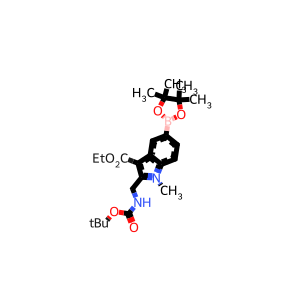 CCOC(=O)c1c(CNC(=O)OC(C)(C)C)n(C)c2ccc(B3OC(C)(C)C(C)(C)O3)cc12